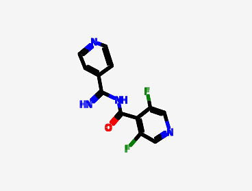 N=C(NC(=O)c1c(F)cncc1F)c1ccncc1